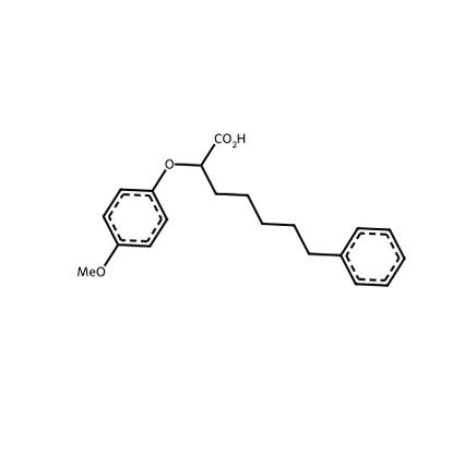 COc1ccc(OC(CCCCCc2ccccc2)C(=O)O)cc1